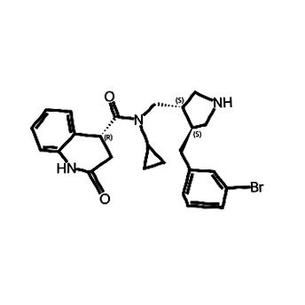 O=C1C[C@@H](C(=O)N(C[C@@H]2CNC[C@H]2Cc2cccc(Br)c2)C2CC2)c2ccccc2N1